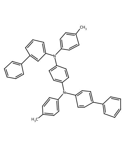 Cc1ccc(N(c2ccc(-c3ccccc3)cc2)c2ccc(N(c3ccc(C)cc3)c3cccc(-c4ccccc4)c3)cc2)cc1